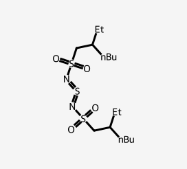 CCCCC(CC)CS(=O)(=O)N=S=NS(=O)(=O)CC(CC)CCCC